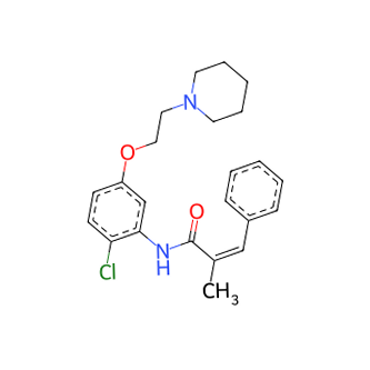 CC(=Cc1ccccc1)C(=O)Nc1cc(OCCN2CCCCC2)ccc1Cl